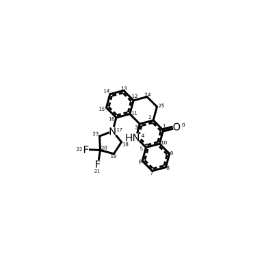 O=c1c2c([nH]c3ccccc13)-c1c(cccc1N1CCC(F)(F)C1)CC2